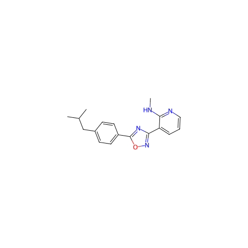 CNc1ncccc1-c1noc(-c2ccc(CC(C)C)cc2)n1